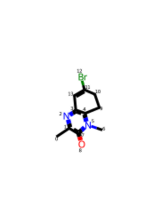 Cc1nc2c(n(C)c1=O)CCC(Br)=C2